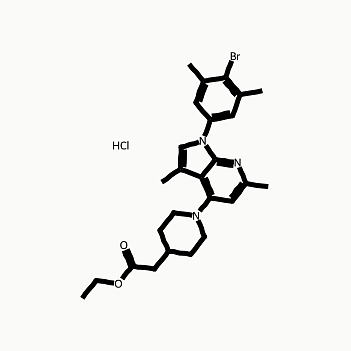 CCOC(=O)CC1CCN(c2cc(C)nc3c2c(C)cn3-c2cc(C)c(Br)c(C)c2)CC1.Cl